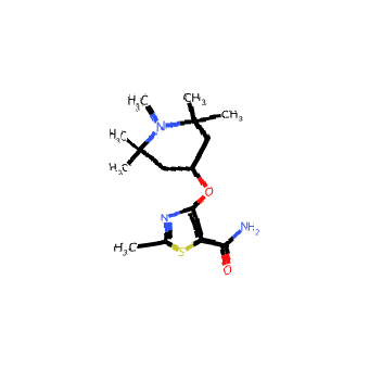 Cc1nc(OC2CC(C)(C)N(C)C(C)(C)C2)c(C(N)=O)s1